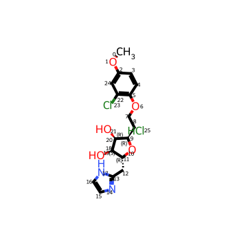 COc1ccc(OCC[C@H]2O[C@H](Cc3ncc[nH]3)[C@@H](O)[C@H]2O)c(Cl)c1.Cl